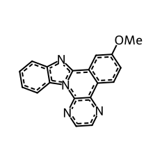 COc1ccc2c(c1)c1nc3ccccc3n1c1nccnc21